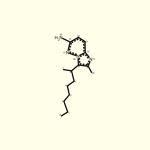 CCCCCCC(C)c1c(C)nc2ccc(N)nn12